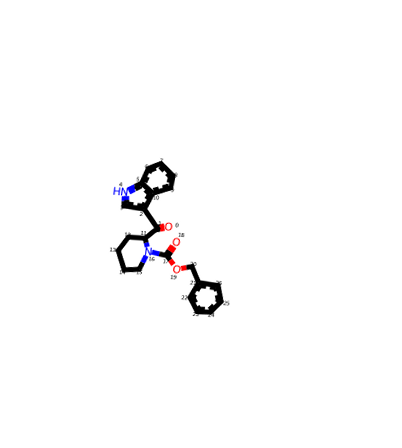 O=C(c1c[nH]c2ccccc12)C1CCCCN1C(=O)OCc1ccccc1